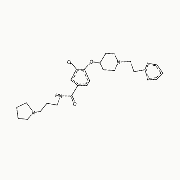 O=C(NCCCN1CCCC1)c1ccc(OC2CCN(CCc3ccccc3)CC2)c(Cl)c1